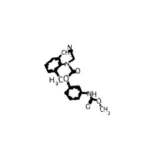 COC(=O)Nc1cccc(OC(=O)N(CC#N)c2c(C)cccc2C)c1